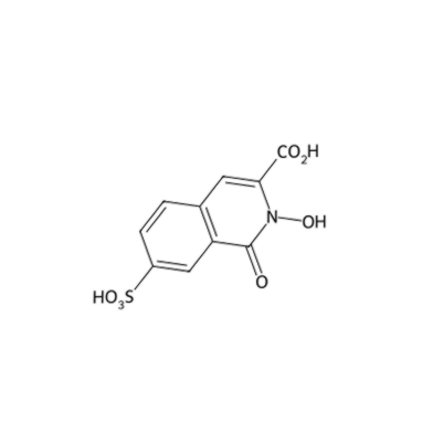 O=C(O)c1cc2ccc(S(=O)(=O)O)cc2c(=O)n1O